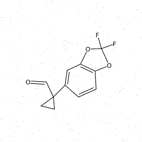 O=CC1(c2ccc3c(c2)OC(F)(F)O3)CC1